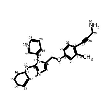 Cc1cc(OCc2cnc(SC3C=CCCC3)n2-c2cccnc2)ccc1C#CCN